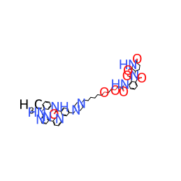 Cc1ccc(NC(=O)c2ccc(CN3CCN(CCCCCCOCCOCC(=O)Nc4cccc5c4C(=O)N(C4CCC(=O)NC4=O)C5=O)CC3)cc2)cc1Nc1nccc(-c2cccnc2)n1